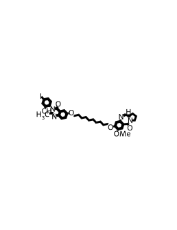 COc1cc2c(cc1OCCCCCCCCCCOc1ccc3nc(C)n(-c4ccc(I)cc4C)c(=O)c3c1)N=C[C@@H]1CCCN1C2=O